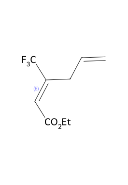 C=CC/C(=C\C(=O)OCC)C(F)(F)F